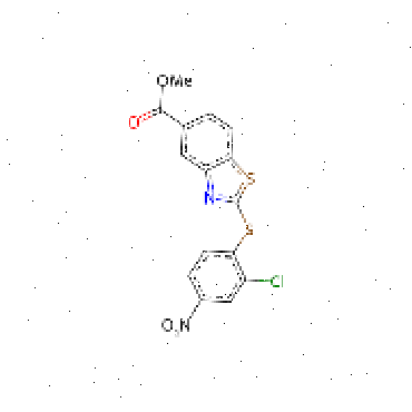 COC(=O)c1ccc2sc(Sc3ccc([N+](=O)[O-])cc3Cl)nc2c1